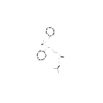 CCP(=S)(Oc1ccccc1)N(SCNC(=O)ON=C(C)SC)c1ccccc1